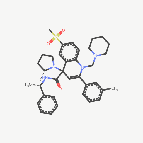 C[C@@H]1CCCN1C1(C(=O)N[C@H](c2ccccc2)C(F)(F)F)C=C(c2cccc(C(F)(F)F)c2)N(CN2CCCCC2)c2ccc(S(C)(=O)=O)cc21